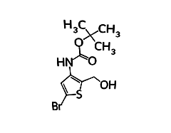 CC(C)(C)OC(=O)Nc1cc(Br)sc1CO